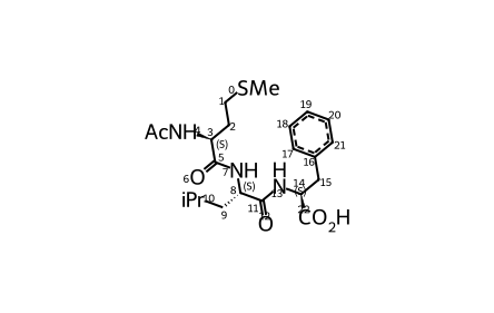 CSCC[C@H](NC(C)=O)C(=O)N[C@@H](CC(C)C)C(=O)N[C@@H](Cc1ccccc1)C(=O)O